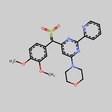 COc1ccc(C(c2cc(N3CCOCC3)nc(-c3ccccn3)n2)=S(=O)=O)cc1OC